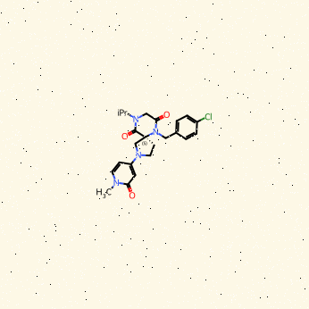 CC(C)N1CC(=O)N(Cc2ccc(Cl)cc2)[C@]2(CCN(c3ccn(C)c(=O)c3)C2)C1=O